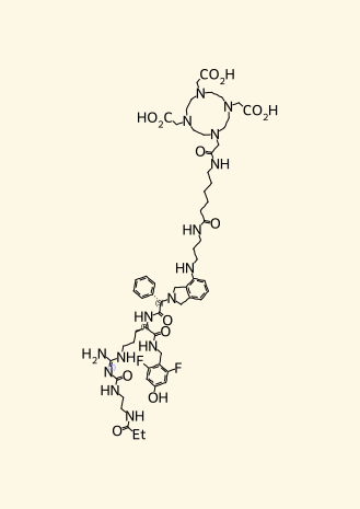 CCC(=O)NCCNC(=O)/N=C(/N)NCCC[C@@H](NC(=O)[C@H](c1ccccc1)N1Cc2cccc(NCCCNC(=O)CCCCCNC(=O)CN3CCN(CC(=O)O)CCN(CC(=O)O)CCN(CC(=O)O)CC3)c2C1)C(=O)NCc1c(F)cc(O)cc1F